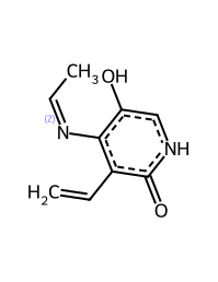 C=Cc1c(/N=C\C)c(O)c[nH]c1=O